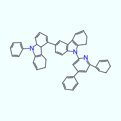 C1=CC2C(C(c3ccc4c(c3)c3c(n4-c4cc(-c5ccccc5)cc(C5=CCCC=C5)n4)CCC=C3)=C1)C1=C(C=CCC1)N2c1ccccc1